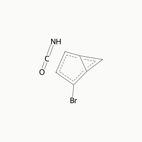 Brc1ccc2cc1-2.N=C=O